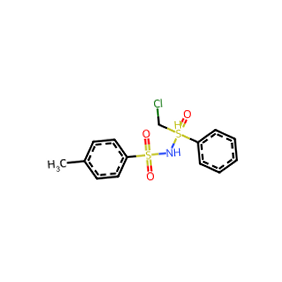 Cc1ccc(S(=O)(=O)N[SH](=O)(CCl)c2ccccc2)cc1